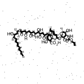 C=CCOC(=O)N[C@@H]1[C@H](O)[C@H](O[C@@H](/C=C/C=C/C)C[C@@H]2O[C@](O)(C[C@@H](O)C[C@@H](O)[C@H](O)CC[C@@H](O)C[C@@H](O)CC(=O)O[C@@H](C)[C@H](C)[C@H](O)[C@@H](C)/C=C/C=C/C=C/C=C/C)C[C@H](O)[C@H]2C(=O)O)O[C@H](C)[C@H]1O